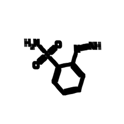 N=Nc1ccccc1S(N)(=O)=O